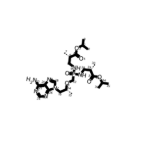 CC(C)OC(=O)[C@@H](C)CNP(=O)(CO[C@H](C)Cn1cnc2c(N)ncnc21)NC[C@H](C)C(=O)OC(C)C